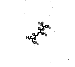 CCC(C)OC(=O)CCC(N)C(=O)OC(C)CC